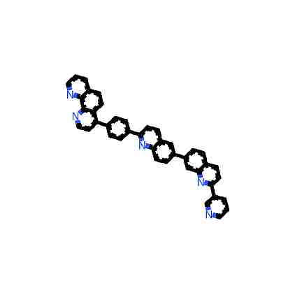 c1cncc(-c2ccc3ccc(-c4ccc5nc(-c6ccc(-c7ccnc8c7ccc7cccnc78)cc6)ccc5c4)cc3n2)c1